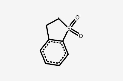 O=S1(=O)[CH]Cc2ccccc21